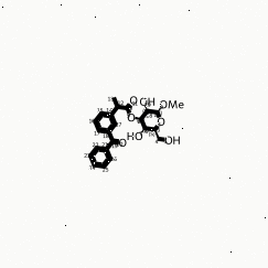 CO[C@@H]1O[C@@H](CO)[C@H](O)[C@@H](OC(=O)C(C)c2cccc(C(=O)c3ccccc3)c2)[C@@H]1O